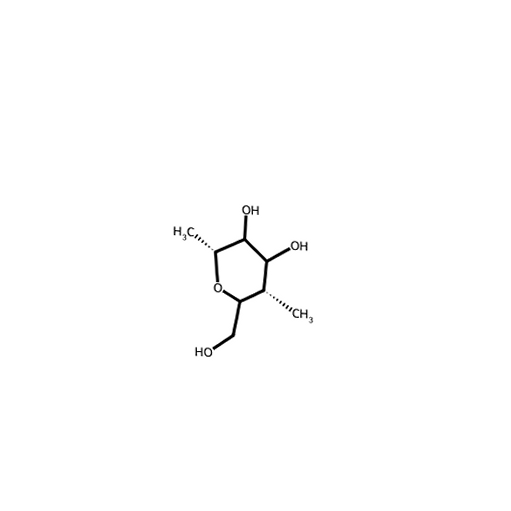 C[C@@H]1C(CO)O[C@H](C)C(O)C1O